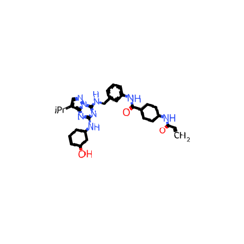 C=CC(=O)NC1CCC(C(=O)Nc2cccc(CNc3nc(NC4CCCC(O)C4)nc4c(C(C)C)cnn34)c2)CC1